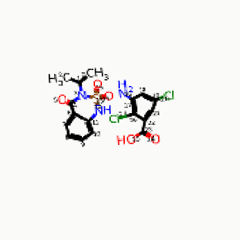 CC(C)N1C(=O)c2ccccc2NS1(=O)=O.Nc1cc(Cl)cc(C(=O)O)c1Cl